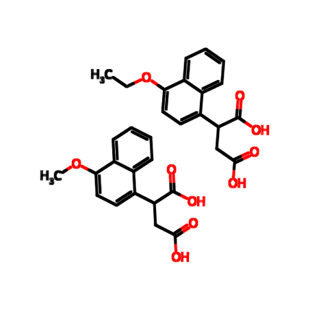 CCOc1ccc(C(CC(=O)O)C(=O)O)c2ccccc12.COc1ccc(C(CC(=O)O)C(=O)O)c2ccccc12